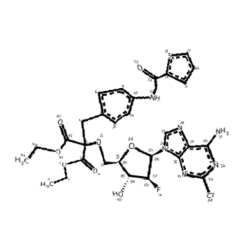 CCOC(=O)C(Cc1ccc(NC(=O)c2cccs2)cc1)(OC[C@H]1O[C@@H](n2cnc3c(N)nc(Cl)nc32)[C@@H](F)[C@@H]1O)C(=O)OCC